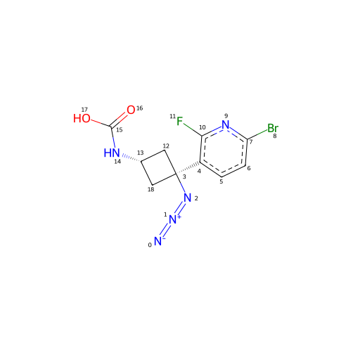 [N-]=[N+]=N[C@]1(c2ccc(Br)nc2F)C[C@@H](NC(=O)O)C1